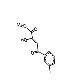 COC(=O)C(O)=CC(=O)c1cccc(C)c1